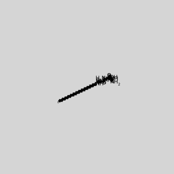 CCCCCCCCCCCCCCCCCCCCCCCCCCCCNC(=O)CNC(=O)[C@@H](N)CCC(NC(=N)N)C(=O)O